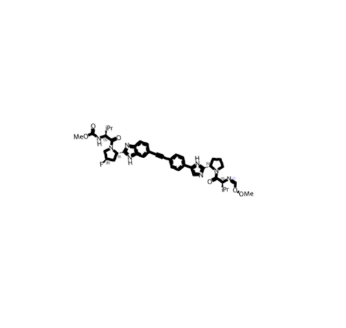 COO/C=N\[C@H](C(=O)N1CCC[C@H]1c1ncc(-c2ccc(C#Cc3ccc4nc([C@@H]5C[C@@H](F)CN5C(=O)[C@@H](NC(=O)OC)C(C)C)[nH]c4c3)cc2)[nH]1)C(C)C